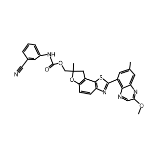 COc1cnc2c(-c3nc4ccc5c(c4s3)CC(C)(COC(=O)Nc3cccc(C#N)c3)O5)cc(C)cc2n1